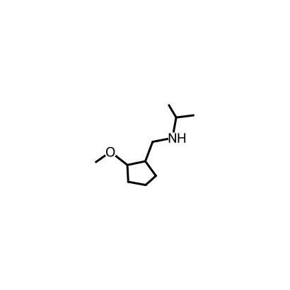 COC1CCCC1CNC(C)C